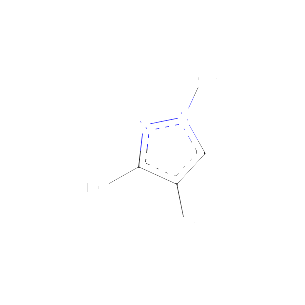 CCC(C)c1cn(C)nc1C